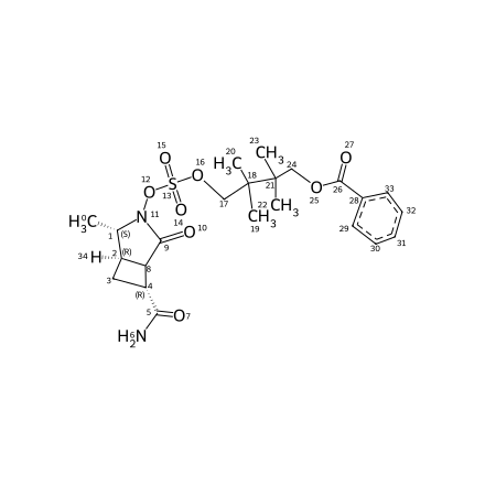 C[C@H]1[C@@H]2C[C@@H](C(N)=O)C2C(=O)N1OS(=O)(=O)OCC(C)(C)C(C)(C)COC(=O)c1ccccc1